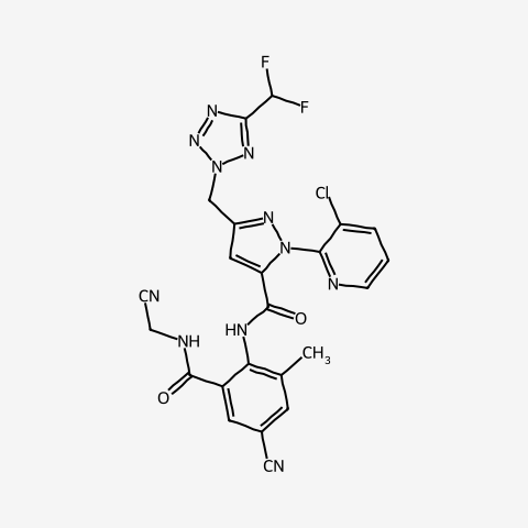 Cc1cc(C#N)cc(C(=O)NCC#N)c1NC(=O)c1cc(Cn2nnc(C(F)F)n2)nn1-c1ncccc1Cl